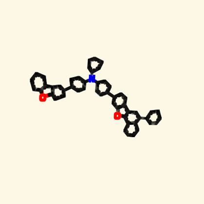 c1ccc(-c2cc3c4ccc(-c5ccc(N(c6ccccc6)c6ccc(-c7ccc8oc9ccccc9c8c7)cc6)cc5)cc4oc3c3ccccc23)cc1